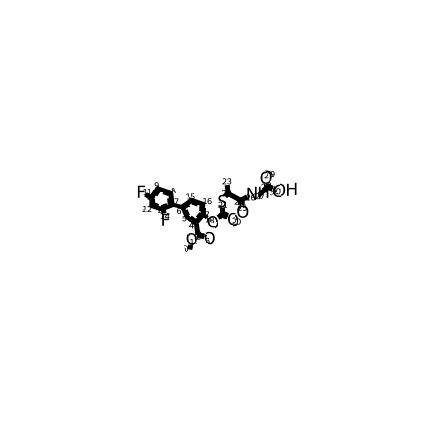 COC(=O)c1cc(-c2ccc(F)cc2F)ccc1OC(=O)SC(C)C(=O)NCC(=O)O